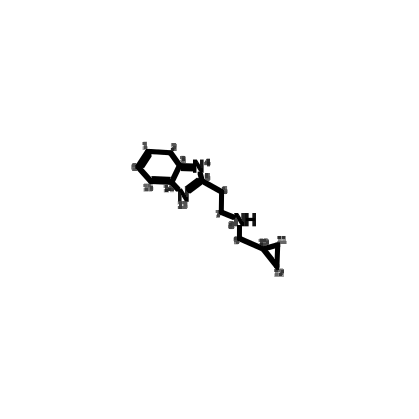 C1=CCC2=NC(CCNCC3CC3)=NC2=C1